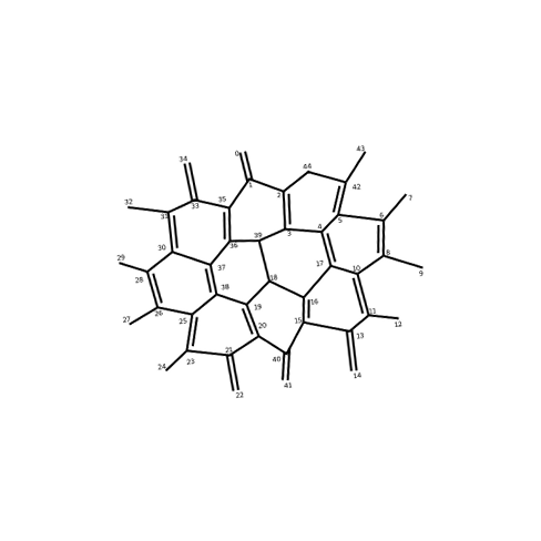 C=C1C2=C3c4c(c(C)c(C)c5c(C)c(=C)c6c(c45)C4c5c(c(=C)c(C)c7c(C)c(C)c8c(C)c(=C)c1c(c8c57)C34)C6=C)=C(C)C2